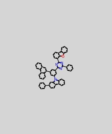 c1ccc(-c2ccc3c4ccccc4n(-c4cc(-c5nc(-c6ccccc6)nc(-c6cccc7c6oc6ccccc67)n5)cc(-c5cc6ccccc6c6ccccc56)c4)c3c2)cc1